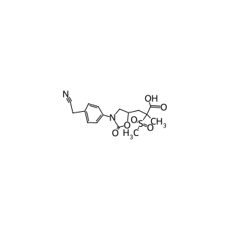 CC(CC1CN(c2ccc(CC#N)cc2)C(=O)O1)(C(=O)O)S(C)(=O)=O